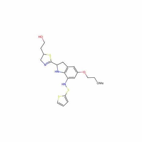 COCCOc1cc2c(c(NSc3cccs3)c1)NC(C1=NCC(CCO)S1)C2